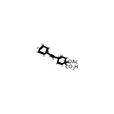 CC(=O)OC1(C(=O)O)C=CC(C#Cc2ccccc2)=CC1